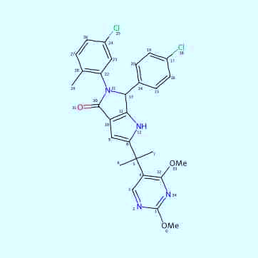 COc1ncc(C(C)(C)c2cc3c([nH]2)C(c2ccc(Cl)cc2)N(c2cc(Cl)ccc2C)C3=O)c(OC)n1